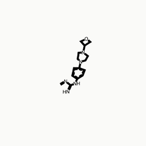 C=NC(=N)Nc1ccc(N2CCN(C3COC3)CC2)cc1